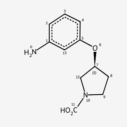 Nc1cccc(O[C@H]2CCN(C(=O)O)C2)c1